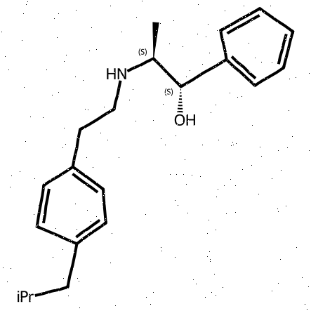 CC(C)Cc1ccc(CCN[C@@H](C)[C@@H](O)c2ccccc2)cc1